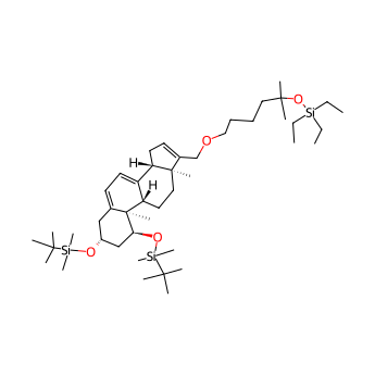 CC[Si](CC)(CC)OC(C)(C)CCCCOCC1=CC[C@H]2C3=CC=C4C[C@@H](O[Si](C)(C)C(C)(C)C)C[C@H](O[Si](C)(C)C(C)(C)C)[C@]4(C)[C@H]3CC[C@]12C